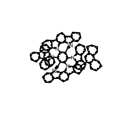 N#Cc1c(-n2c3ccccc3c3ccccc32)c(-n2c3cc(-c4cc5ccccc5c5ccccc45)ccc3c3ccc4c5ccccc5sc4c32)c(C#N)c(-n2c3ccccc3c3ccccc32)c1-n1c2cc(-c3ccccc3-c3ccccc3)ccc2c2ccc3c4ccccc4sc3c21